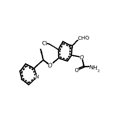 CC(Oc1cc(OC(N)=O)c(C=O)cc1Cl)c1ccccn1